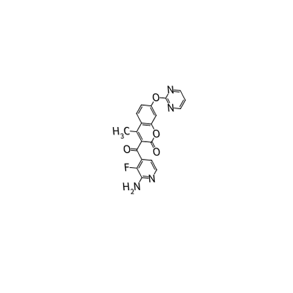 Cc1c(C(=O)c2ccnc(N)c2F)c(=O)oc2cc(Oc3ncccn3)ccc12